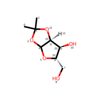 CC1(C)OC2O[C@@H](CO)[C@H](O)[C@@H]2O1